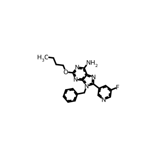 CCCCOc1nc(N)c2nc(-c3cncc(F)c3)n(Cc3ccccc3)c2n1